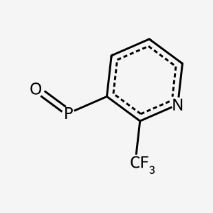 O=Pc1cccnc1C(F)(F)F